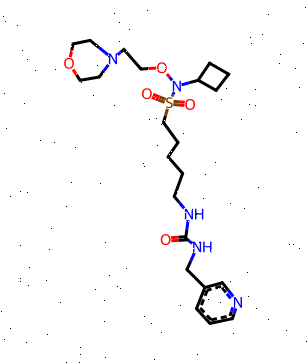 O=C(NCCCCCS(=O)(=O)N(OCCN1CCOCC1)C1CCC1)NCc1cccnc1